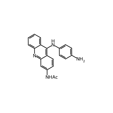 CC(=O)Nc1ccc2c(Nc3ccc(N)cc3)c3ccccc3nc2c1